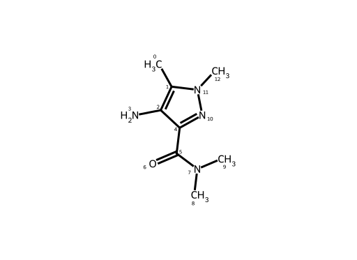 Cc1c(N)c(C(=O)N(C)C)nn1C